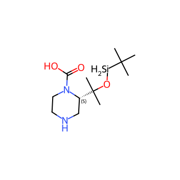 CC(C)(C)[SiH2]OC(C)(C)[C@@H]1CNCCN1C(=O)O